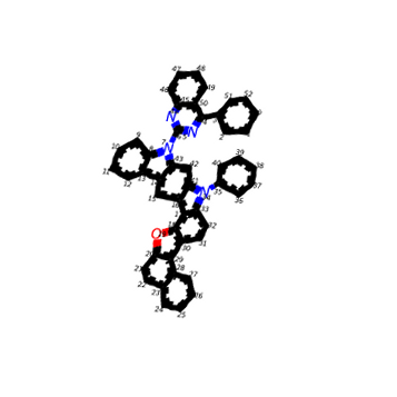 c1ccc(-c2nc(-n3c4ccccc4c4cc5c6c7oc8ccc9ccccc9c8c7ccc6n(-c6ccccc6)c5cc43)nc3ccccc23)cc1